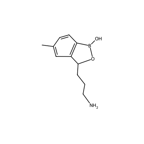 Cc1ccc2c(c1)C(CCCN)OB2O